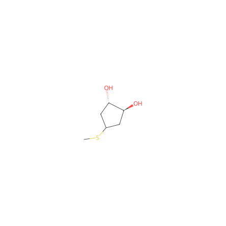 CSC1C[C@H](O)[C@@H](O)C1